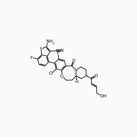 N#Cc1c(N)sc2c(F)ccc(-c3c(F)cc4c(c3Cl)OCC[C@H]3CN(C(=O)/C=C/CO)CCN3C4=O)c12